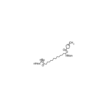 CCCCCCCCCC(CCCCCCCCCCCCC(=O)OC(CCCC)CCCCCC)OC(=O)C1CCN(C)CC1